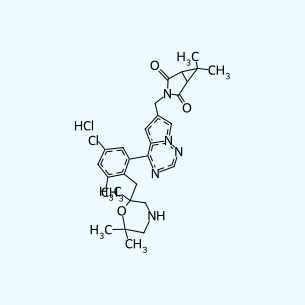 Cc1cc(Cl)cc(-c2ncnn3cc(CN4C(=O)C5C(C4=O)C5(C)C)cc23)c1CC1(C)CNCC(C)(C)O1.Cl